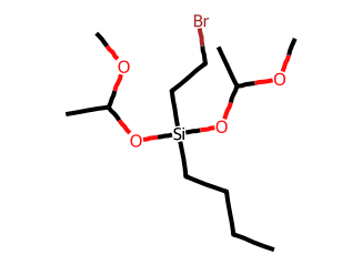 CCCC[Si](CCBr)(OC(C)OC)OC(C)OC